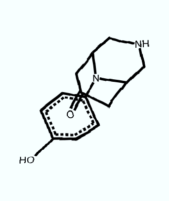 O=C1CC2CNCC(C1)N2c1ccc(O)cc1